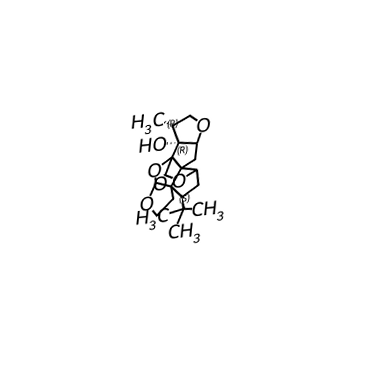 C[C@@H]1COC2CC34C5C[C@@H](C(C)(C)C)C36CCOC6OC4(C(=O)O5)[C@]21O